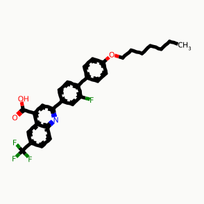 CCCCCCCOc1ccc(-c2ccc(-c3cc(C(=O)O)c4cc(C(F)(F)F)ccc4n3)cc2F)cc1